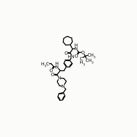 CCC(=O)NC(Cc1ccc(NC(=O)C(NC(=O)OC(C)(C)C)C2CCCCCC2)cc1)C(=O)N1CCN(Cc2ccccc2)CC1